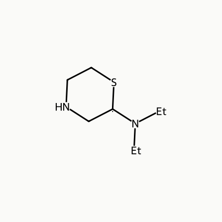 CCN(CC)[C]1CNCCS1